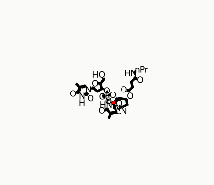 CCCNC(=O)CCC(=O)OC1CC2OC1C(OP(=O)(OCCC#N)OC1CC(n3cc(C)c(=O)[nH]c3=O)OC1CO)=C1NC(=O)C(C)=CN12